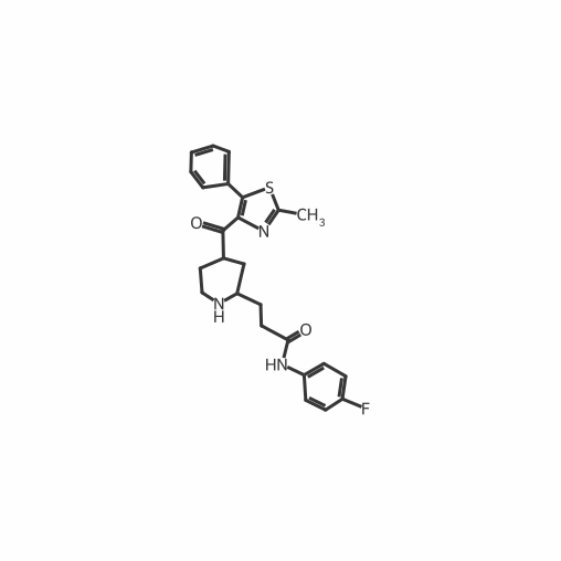 Cc1nc(C(=O)C2CCNC(CCC(=O)Nc3ccc(F)cc3)C2)c(-c2ccccc2)s1